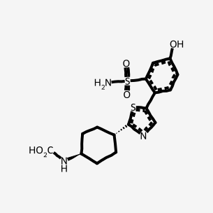 NS(=O)(=O)c1cc(O)ccc1-c1cnc([C@H]2CC[C@H](NC(=O)O)CC2)s1